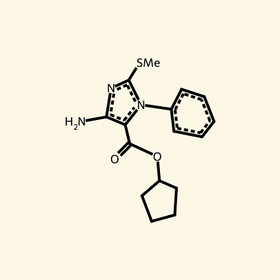 CSc1nc(N)c(C(=O)OC2CCCC2)n1-c1ccccc1